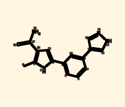 Cc1[nH]c(-c2cccc(-c3cn[nH]c3)c2)cc1C(N)=O